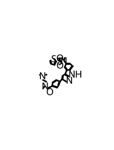 CN(C)CCN(C)C(=O)c1ccc(-c2cnc3[nH]c4ccc(N(C)S(=O)(=O)c5cccs5)cc4c3c2)cc1